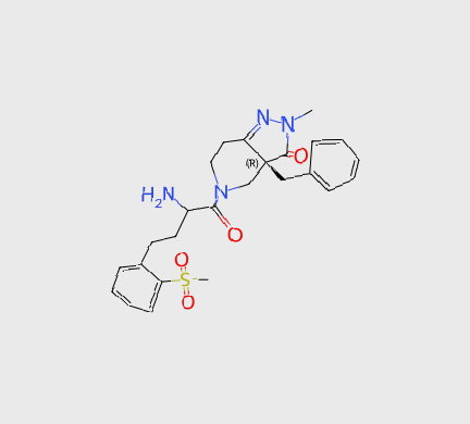 CN1N=C2CCN(C(=O)C(N)CCc3ccccc3S(C)(=O)=O)C[C@@]2(Cc2ccccc2)C1=O